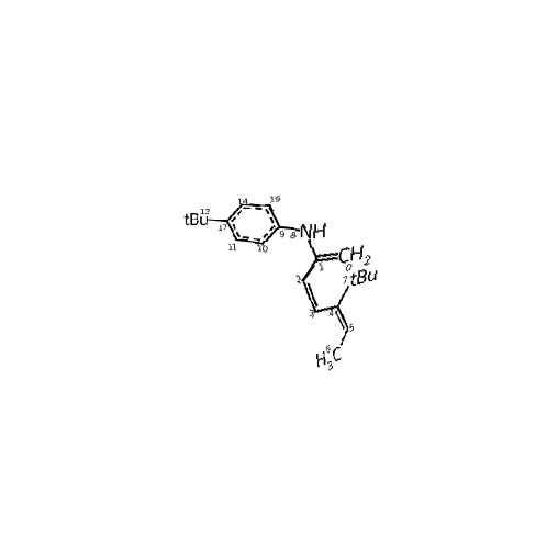 C=C(/C=C\C(=C/C)C(C)(C)C)Nc1ccc(C(C)(C)C)cc1